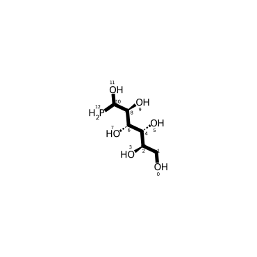 OC[C@@H](O)[C@@H](O)[C@H](O)[C@H](O)C(O)P